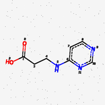 O=C(O)CCNc1ccncn1